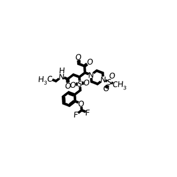 CCNC(=O)CC(C(C(=O)C=O)N1CCN(S(C)(=O)=O)CC1)S(=O)(=O)Cc1ccccc1OC(F)F